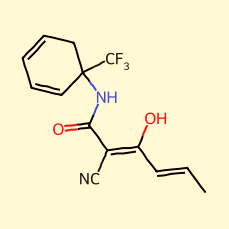 CC=CC(O)=C(C#N)C(=O)NC1(C(F)(F)F)C=CC=CC1